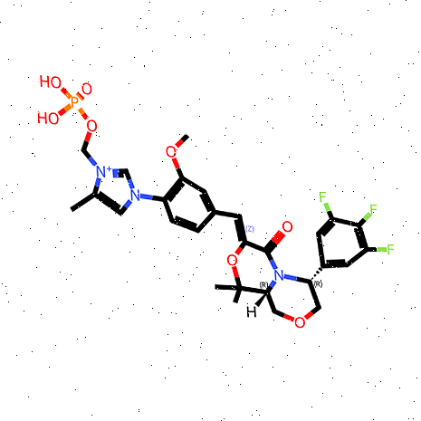 COc1cc(/C=C2\OC(C)(C)[C@H]3COC[C@@H](c4cc(F)c(F)c(F)c4)N3C2=O)ccc1-n1cc(C)[n+](COP(=O)(O)O)c1